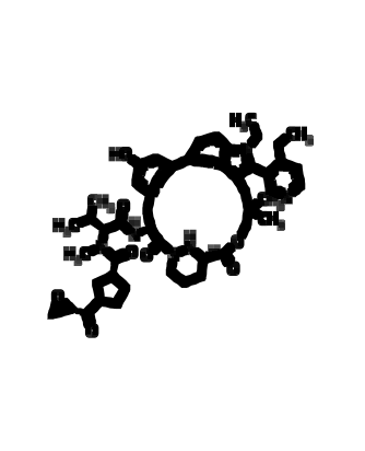 CCc1ccncc1-c1c2c3cc(ccc3n1CC)-c1cc(O)cc(c1)C[C@H](NC(=O)[C@H](C(C)C)N(C)C(=O)[C@H]1CCC(C(=O)[C@@H]3CO3)C1)C(=O)N1CCC[C@H](N1)C(=O)OCC(C)(C)C2